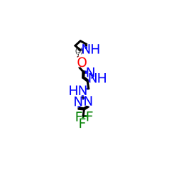 FC(F)(F)c1cnc(NCc2cc(COC[C@@H]3CCCN3)n[nH]2)nc1